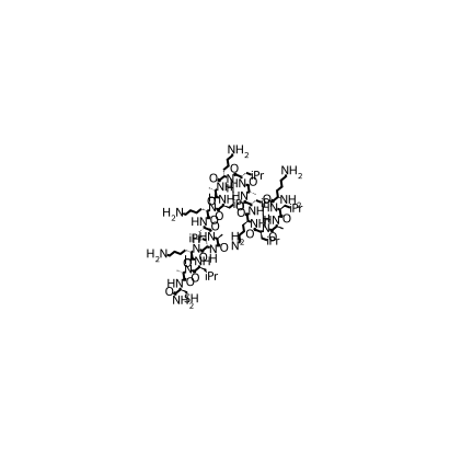 CC(C)C[C@H](NC(=O)[C@H](C)NC(=O)[C@H](CCCCN)NC(=O)[C@H](CC(C)C)NC(=O)[C@H](C)NC(=O)[C@H](CC(C)C)NC(=O)[C@H](CCCCN)NC(=O)[C@H](CC(C)C)NC(=O)[C@H](C)NC(=O)[C@H](CC(C)C)NC(=O)[C@@H](N)CCCCN)C(=O)N[C@@H](CCCCN)C(=O)N[C@@H](C)C(=O)N[C@@H](C)C(=O)N[C@@H](CC(C)C)C(=O)N[C@@H](CCCCN)C(=O)N[C@@H](CC(C)C)C(=O)N[C@@H](C)C(=O)N[C@@H](CS)C(N)=O